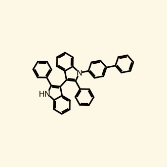 c1ccc(-c2ccc(-n3c(-c4ccccc4)c(-c4c(-c5ccccc5)[nH]c5ccccc45)c4ccccc43)cc2)cc1